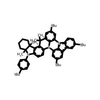 CC(C)(C)c1ccc(N2c3ccc4c(c3C3(C)CCCCC23C)C(C)(C)c2cc(C(C)(C)C)cc3c2B4c2cc(C(C)(C)C)cc4c5cc(C(C)(C)C)ccc5n-3c24)cc1